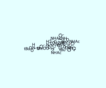 COC(=O)[C@H](Cc1ccc(OCCNC(=O)OC(C)(C)C)cc1)NC(=O)[C@@H](NC(=O)[C@H](CCCCNC(C)=O)NC(=O)[C@H](Cc1c[nH]c2c(C)cccc12)NC(=O)[C@@H](NC(=O)[C@H](CC(N)=O)NC(=O)[C@@H](NC(C)=O)C(C)(C)SC(c1ccccc1)(c1ccccc1)c1ccccc1)[C@@H](C)OC(C)(C)C)C(C)(C)SCNC(C)=O